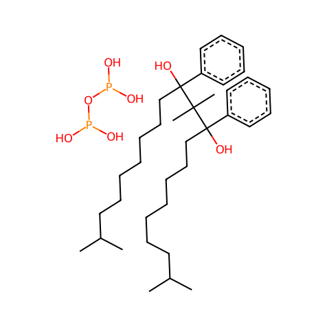 CC(C)CCCCCCCC(O)(c1ccccc1)C(C)(C)C(O)(CCCCCCCC(C)C)c1ccccc1.OP(O)OP(O)O